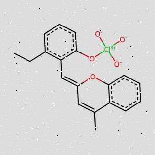 CCc1cccc(O[Cl+3]([O-])([O-])[O-])c1C=C1C=C(C)c2ccccc2O1